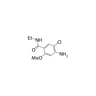 CCNC(=O)c1cc(Cl)c(N)cc1OC